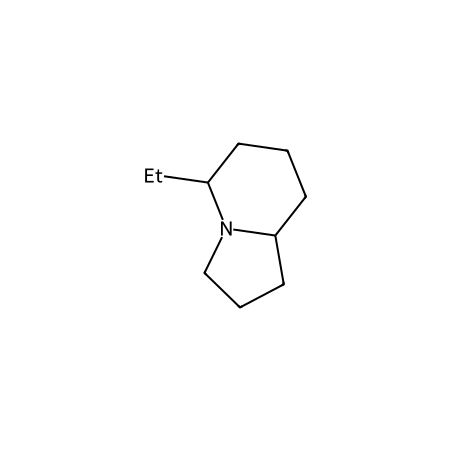 CCC1CCCC2CCCN12